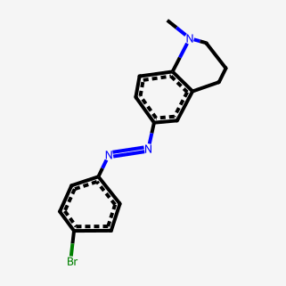 CN1CCCc2cc(N=Nc3ccc(Br)cc3)ccc21